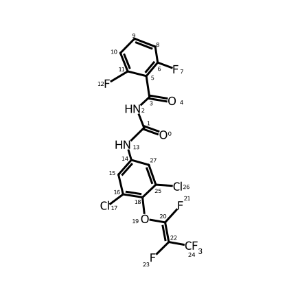 O=C(NC(=O)c1c(F)cccc1F)Nc1cc(Cl)c(OC(F)=C(F)C(F)(F)F)c(Cl)c1